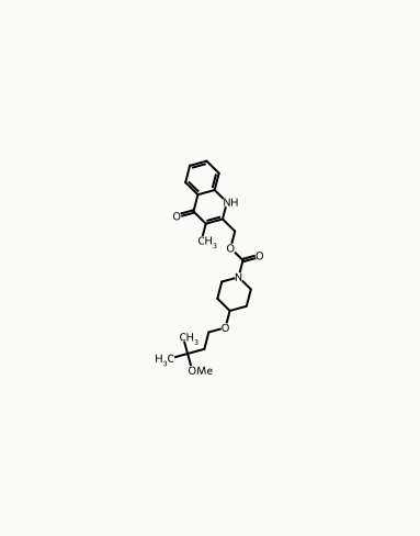 COC(C)(C)CCOC1CCN(C(=O)OCc2[nH]c3ccccc3c(=O)c2C)CC1